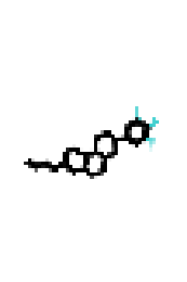 C=CCCC1CCC2C(CCC3CC(c4cc(F)c(F)c(F)c4)CCC32)C1